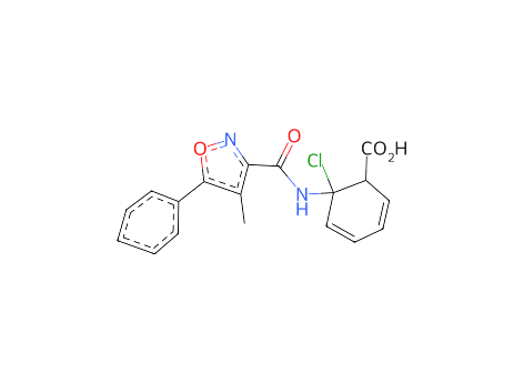 Cc1c(C(=O)NC2(Cl)C=CC=CC2C(=O)O)noc1-c1ccccc1